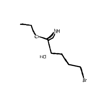 CCOC(=N)CCCCBr.Cl